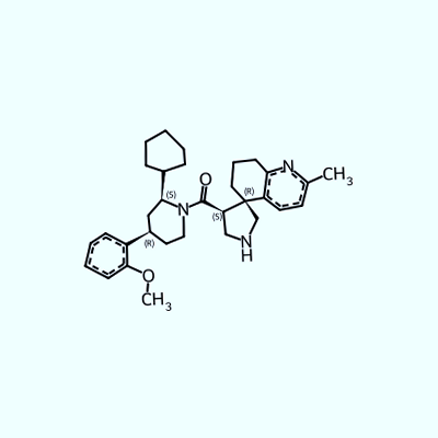 COc1ccccc1[C@@H]1CCN(C(=O)[C@@H]2CNC[C@]23CCCc2nc(C)ccc23)[C@H](C2CCCCC2)C1